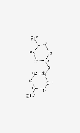 CCC1CCC(CC2OCC(CC)CO2)CC1